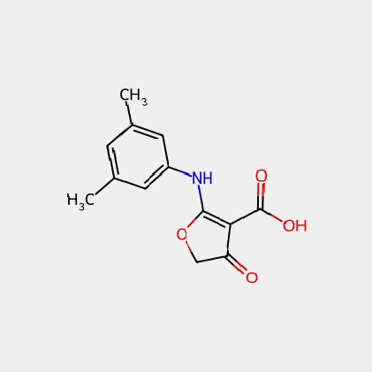 Cc1cc(C)cc(NC2=C(C(=O)O)C(=O)CO2)c1